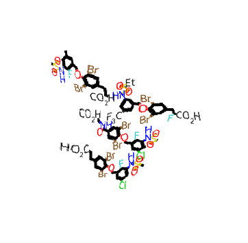 CCS(=O)(=O)Nc1cc(COc2c(Br)cc(CC(F)C(=O)O)cc2Br)cc(C(F)(F)F)c1.CS(=O)(=O)Nc1cc(Cl)cc(COc2c(Br)cc(C(=O)NCC(=O)O)cc2Br)c1F.CS(=O)(=O)Nc1cc(Cl)cc(COc2c(Br)cc(CCC(=O)O)cc2Br)c1F.Cc1cc(COc2c(Br)cc(CCC(=O)O)cc2Br)c(F)c(NS(C)(=O)=O)c1